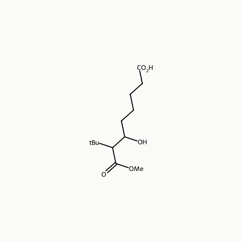 COC(=O)C(C(O)CCCCC(=O)O)C(C)(C)C